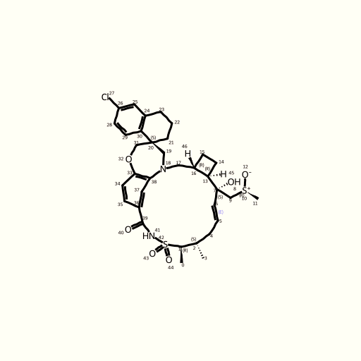 C[C@@H]1[C@@H](C)C/C=C/[C@](O)(C[S@+](C)[O-])[C@@H]2CC[C@H]2CN2C[C@@]3(CCCc4cc(Cl)ccc43)COc3ccc(cc32)C(=O)NS1(=O)=O